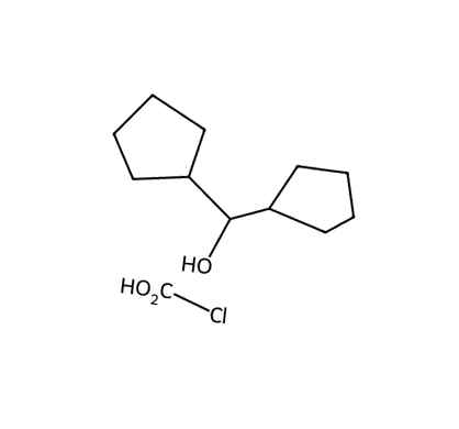 O=C(O)Cl.OC(C1CCCC1)C1CCCC1